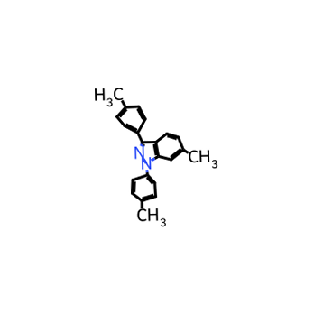 Cc1ccc(-c2nn(-c3ccc(C)cc3)c3cc(C)ccc23)cc1